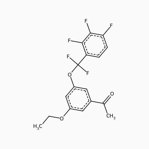 CCOc1cc(OC(F)(F)c2ccc(F)c(F)c2F)cc(C(C)=O)c1